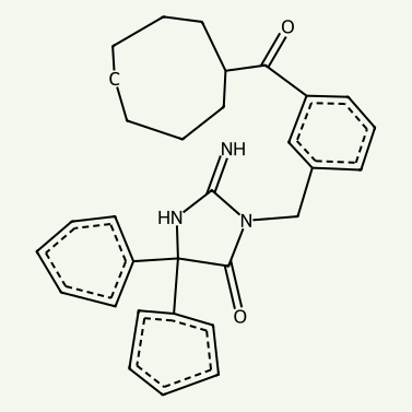 N=C1NC(c2ccccc2)(c2ccccc2)C(=O)N1Cc1cccc(C(=O)C2CCCCCCC2)c1